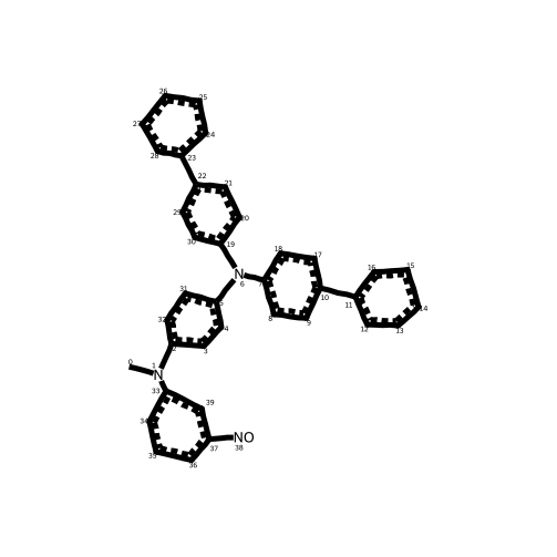 CN(c1ccc(N(c2ccc(-c3ccccc3)cc2)c2ccc(-c3ccccc3)cc2)cc1)c1cccc(N=O)c1